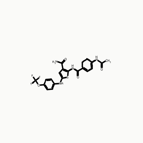 CC(=O)NC1=CC=C(C(=O)Nc2sc(Nc3ccc(OC(F)(F)F)cc3)cc2C(N)=O)CC1